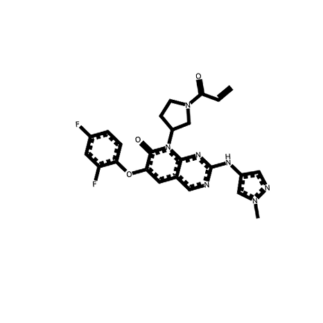 C=CC(=O)N1CCC(n2c(=O)c(Oc3ccc(F)cc3F)cc3cnc(Nc4cnn(C)c4)nc32)C1